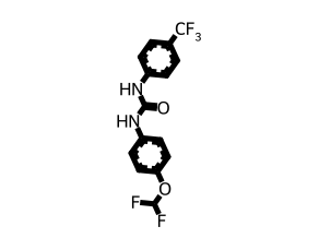 O=C(Nc1ccc(OC(F)F)cc1)Nc1ccc(C(F)(F)F)cc1